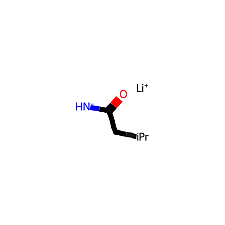 CC(C)CC([NH-])=O.[Li+]